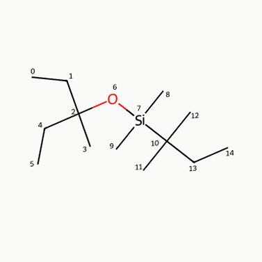 CCC(C)(CC)O[Si](C)(C)C(C)(C)CC